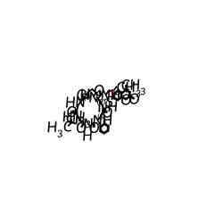 CCCCNC(=O)C1[C@H](CSc2ccc3c(C)cc(=O)oc3c2)NC(=O)[C@H](Cc2ccccc2)NC(=O)NC(=O)[C@H](CC(C)C)NC(=O)CNC(=O)[C@@H]2CCCN12